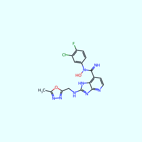 Cc1nnc(CNc2nc3nccc(C(=N)N(O)c4ccc(F)c(Cl)c4)c3[nH]2)o1